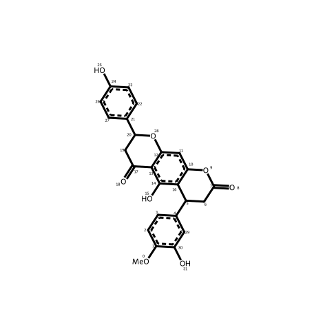 COc1ccc(C2CC(=O)Oc3cc4c(c(O)c32)C(=O)CC(c2ccc(O)cc2)O4)cc1O